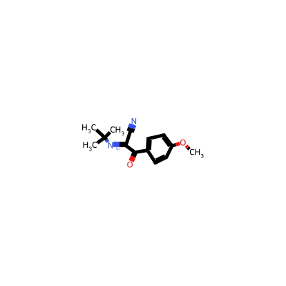 COc1ccc(C(=O)/C(C#N)=N/C(C)(C)C)cc1